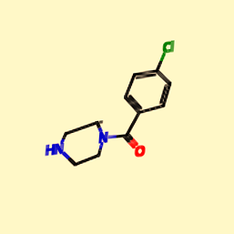 O=C(c1ccc(Cl)cc1)N1[CH]CNCC1